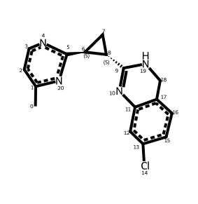 Cc1ccnc([C@H]2C[C@@H]2C2=Nc3cc(Cl)ccc3CN2)n1